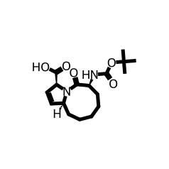 CC(C)(C)OC(=O)N[C@H]1CCCCC[C@H]2C=C[C@@H](C(=O)O)N2C1=O